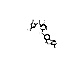 COc1cc(Nc2ncc(F)c(Nc3cc(C(C)(C)C)nn3C)n2)ccc1-n1cnc(C)c1